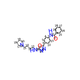 O=C(Nc1ccc(-c2nnc(NCCCCN3CCCC3)o2)cc1)c1ccccc1